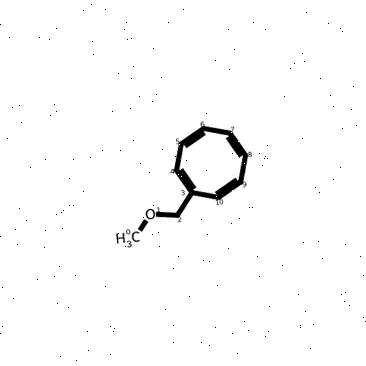 COCC1=C/C=C\C=C/C=C\1